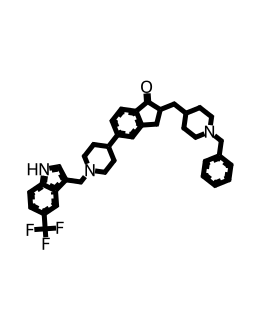 O=C1c2ccc(C3CCN(Cc4c[nH]c5ccc(C(F)(F)F)cc45)CC3)cc2CC1CC1CCN(Cc2ccccc2)CC1